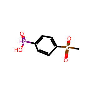 CS(=O)(=O)c1ccc([PH](=O)O)cc1